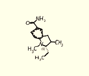 CC[C@H]1C(C)Cc2cc(C(N)=O)ccc2N1C